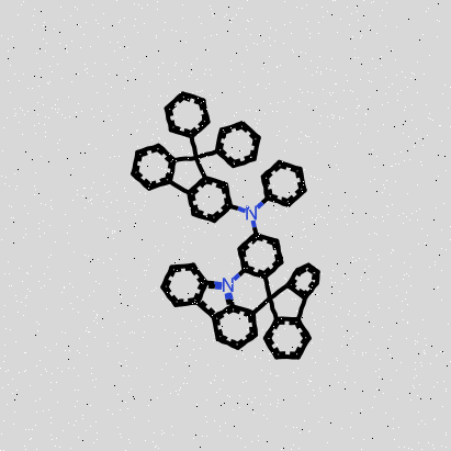 c1ccc(N(c2ccc3c(c2)-n2c4ccccc4c4cccc(c42)C32c3ccccc3-c3ccccc32)c2ccc3c(c2)C(c2ccccc2)(c2ccccc2)c2ccccc2-3)cc1